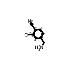 N#Cc1ccc(CN)cc1Cl